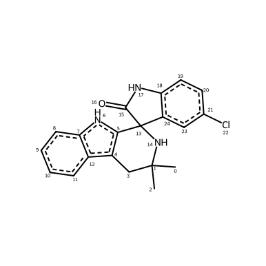 CC1(C)Cc2c([nH]c3ccccc23)C2(N1)C(=O)Nc1ccc(Cl)cc12